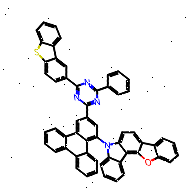 c1ccc(-c2nc(-c3ccc4sc5ccccc5c4c3)nc(-c3cc(-n4c5ccccc5c5c6oc7ccccc7c6ccc54)c4c5ccccc5c5ccccc5c4c3)n2)cc1